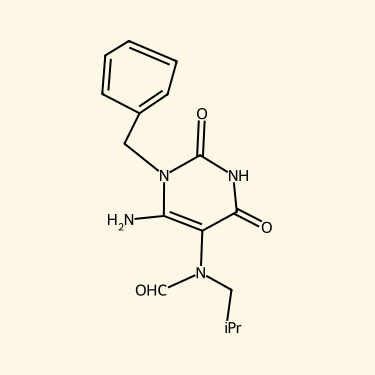 CC(C)CN(C=O)c1c(N)n(Cc2ccccc2)c(=O)[nH]c1=O